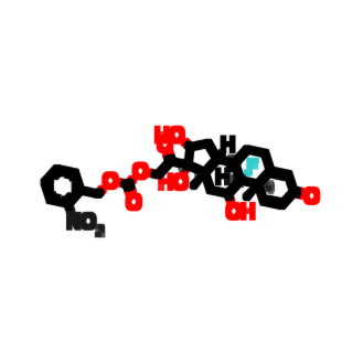 C[C@]12C=CC(=O)C=C1CC[C@H]1[C@@H]3CC(O)[C@](O)(C(=O)COC(=O)OCc4ccccc4[N+](=O)[O-])[C@@]3(C)CC(O)[C@@]12F